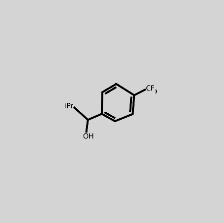 CC(C)C(O)c1ccc(C(F)(F)F)cc1